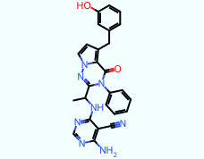 CC(Nc1ncnc(N)c1C#N)c1nn2ccc(Cc3cccc(O)c3)c2c(=O)n1-c1ccccc1